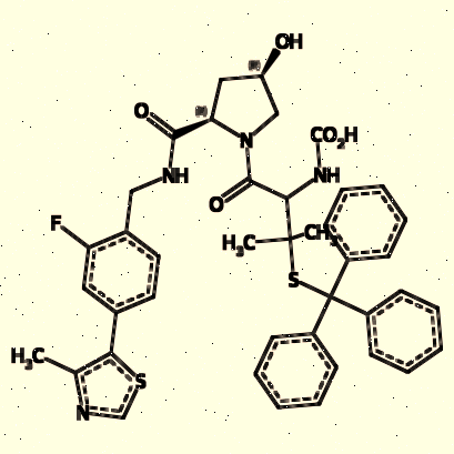 Cc1ncsc1-c1ccc(CNC(=O)[C@H]2C[C@@H](O)CN2C(=O)C(NC(=O)O)C(C)(C)SC(c2ccccc2)(c2ccccc2)c2ccccc2)c(F)c1